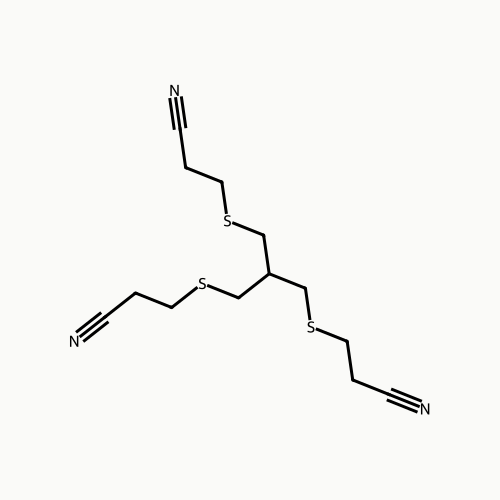 N#CCCSCC(CSCCC#N)CSCCC#N